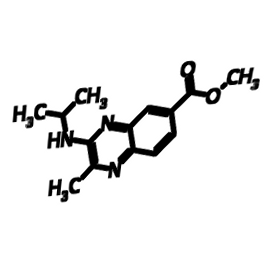 COC(=O)c1ccc2nc(C)c(NC(C)C)nc2c1